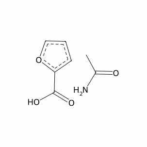 CC(N)=O.O=C(O)c1ccco1